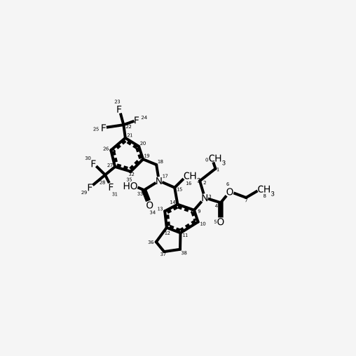 CCCN(C(=O)OCC)c1cc2c(cc1C(C)N(Cc1cc(C(F)(F)F)cc(C(F)(F)F)c1)C(=O)O)CCC2